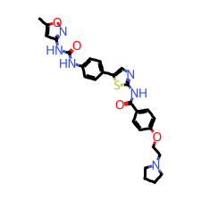 Cc1cc(NC(=O)Nc2ccc(-c3cnc(NC(=O)c4ccc(OCCN5CCCC5)cc4)s3)cc2)no1